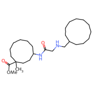 COC(=O)C1(C)CCCCCCC(NC(=O)CNCC2CCCCCCCCCC2)CC1